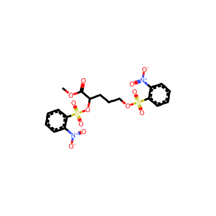 COC(=O)C(CCCOS(=O)(=O)c1ccccc1[N+](=O)[O-])OS(=O)(=O)c1ccccc1[N+](=O)[O-]